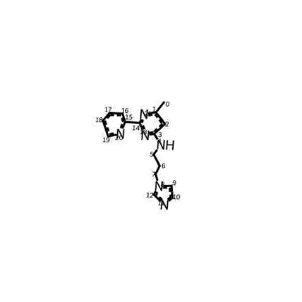 Cc1cc(NCCCn2ccnc2)nc(-c2ccccn2)n1